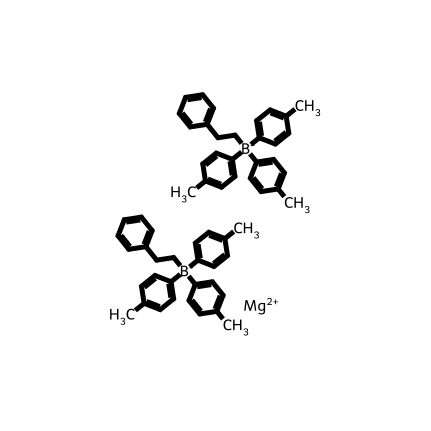 Cc1ccc([B-](CCc2ccccc2)(c2ccc(C)cc2)c2ccc(C)cc2)cc1.Cc1ccc([B-](CCc2ccccc2)(c2ccc(C)cc2)c2ccc(C)cc2)cc1.[Mg+2]